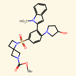 CC(C)(C)OC(=O)N1CC2(CCN2S(=O)(=O)c2ccc(N3CCC(O)C3)c(-c3cc4ccccc4n3C(=O)O)c2)C1